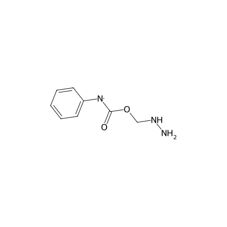 NNCOC(=O)[N]c1ccccc1